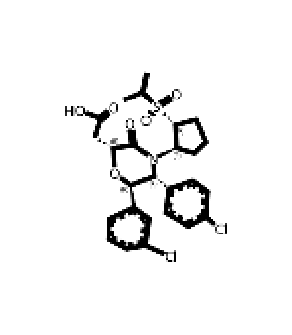 CC(C)S(=O)(=O)[C@@H]1CCC[C@H]1N1C(=O)[C@@H](CC(=O)O)O[C@H](c2cccc(Cl)c2)[C@H]1c1ccc(Cl)cc1